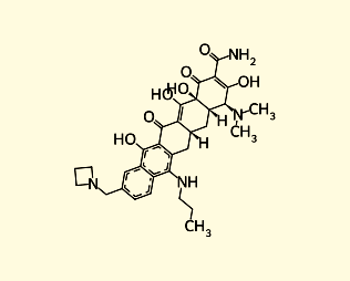 CCCNc1c2c(c(O)c3cc(CN4CCC4)ccc13)C(=O)C1=C(O)[C@]3(O)C(=O)C(C(N)=O)=C(O)[C@@H](N(C)C)[C@@H]3C[C@@H]1C2